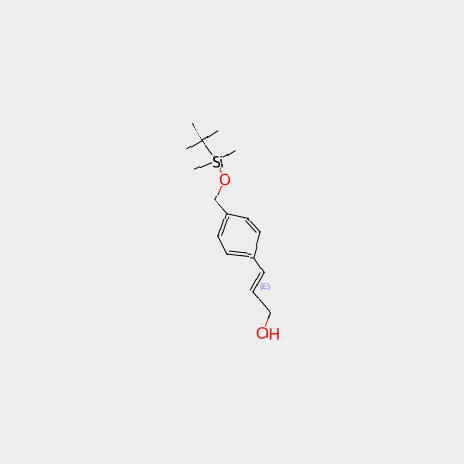 CC(C)(C)[Si](C)(C)OCc1ccc(/C=C/CO)cc1